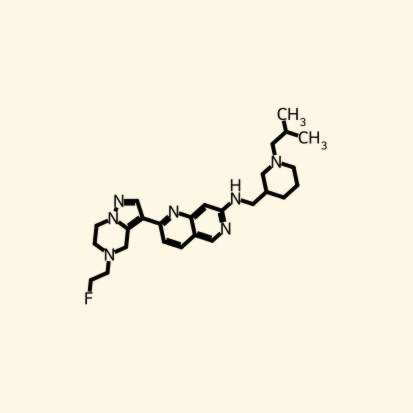 CC(C)CN1CCCC(CNc2cc3nc(-c4cnn5c4CN(CCF)CC5)ccc3cn2)C1